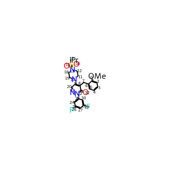 COc1ccccc1Cc1c(N2CCN(S(=O)(=O)C(C)C)CC2)cnn(-c2cc(F)cc(F)c2)c1=O